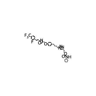 O=C(NC1CCCC1)OCCc1cn(CCCCc2ccc(OCc3coc(/C=C/c4ccc(C(F)(F)F)cc4F)n3)cc2)nn1